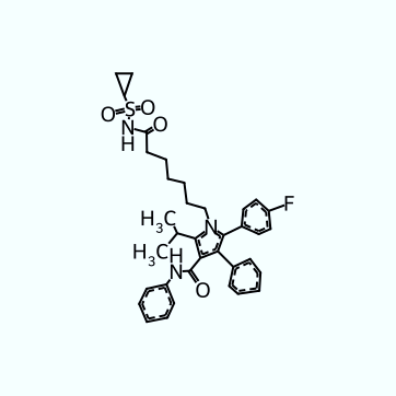 CC(C)c1c(C(=O)Nc2ccccc2)c(-c2ccccc2)c(-c2ccc(F)cc2)n1CCCCCCC(=O)NS(=O)(=O)C1CC1